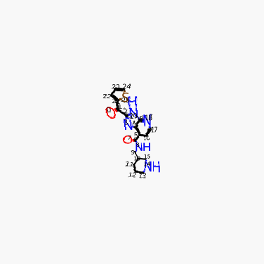 O=C(c1nc2c(C(=O)NC[C@@H]3CCCNC3)ccnc2[nH]1)c1cccs1